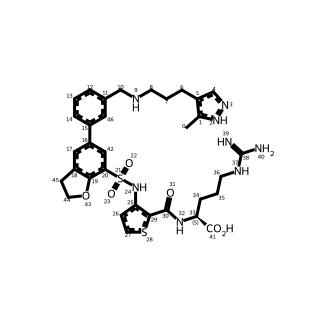 Cc1[nH]ncc1CCCNCc1cccc(-c2cc3c(c(S(=O)(=O)Nc4ccsc4C(=O)N[C@@H](CCCNC(=N)N)C(=O)O)c2)OCC3)c1